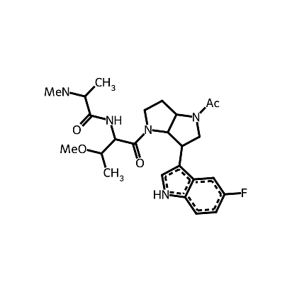 CNC(C)C(=O)NC(C(=O)N1CCC2C1C(c1c[nH]c3ccc(F)cc13)CN2C(C)=O)C(C)OC